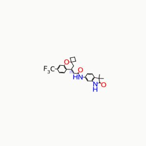 CC1(C)C(=O)Nc2cc(NC(=O)/C=C3\CC4(CCC4)Oc4cc(C(F)(F)F)ccc43)ccc21